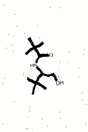 CC(C)(C)C(=O)NC(CO)C(C)(C)C